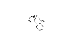 C=C=C.c1ccc(-c2ccccc2)cc1